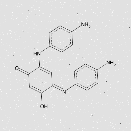 Nc1ccc(N=C2C=C(Nc3ccc(N)cc3)C(=O)C=C2O)cc1